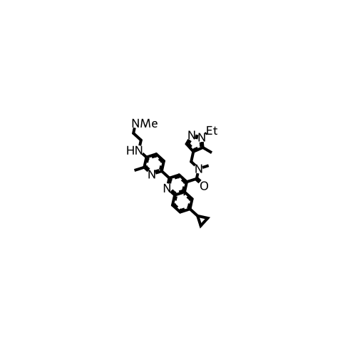 CCn1ncc(CN(C)C(=O)c2cc(-c3ccc(NCCNC)c(C)n3)nc3ccc(C4CC4)cc23)c1C